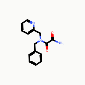 NC(=O)C(=O)N(Cc1ccccc1)Cc1ccccn1